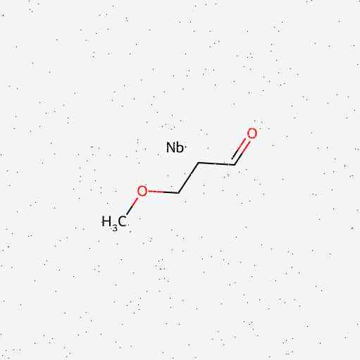 COCCC=O.[Nb]